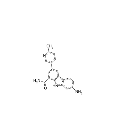 Cc1ccc(-c2cc(C(N)=O)c3[nH]c4cc(N)ccc4c3c2)cn1